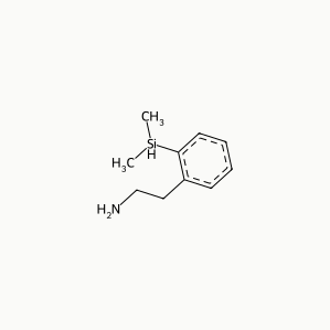 C[SiH](C)c1ccccc1CCN